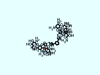 NCC1O[C@H](OC2C(N)C[C@@H](N)C(O)[C@H]2O[C@@H]2O[C@H](Cn3cc(-c4cccc(-c5cn(C[C@H]6O[C@@H](O[C@H]7C(O[C@H]8OC(CN)C(O)[C@H](O)C8N)C(N)C[C@@H](N)C7O)[C@@H](O)C6O[C@H]6O[C@@H](CN)C(O)C(O)C6N)nn5)c4)nn3)C(O[C@H]3O[C@@H](CN)C(O)C(O)C3N)[C@@H]2O)C(N)[C@@H](O)C1O